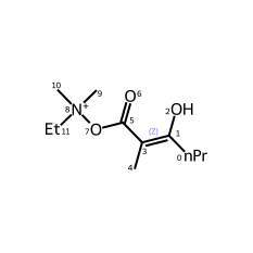 CCC/C(O)=C(\C)C(=O)O[N+](C)(C)CC